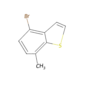 Cc1ccc(Br)c2ccsc12